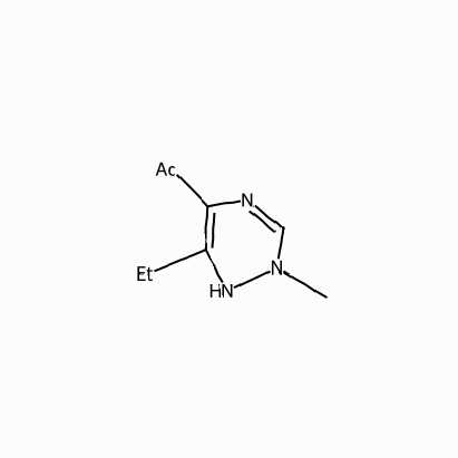 CCC1=C(C(C)=O)N=CN(C)N1